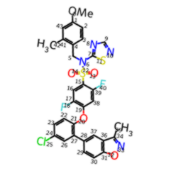 COc1ccc(CN(c2ncns2)S(=O)(=O)c2cc(F)c(Oc3ccc(Cl)cc3-c3ccc4onc(C)c4c3)cc2F)c(C)c1